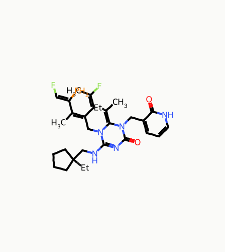 CC/C(C)=C1/N(Cc2ccc[nH]c2=O)C(=O)N=C(NCC2(CC)CCCC2)N1CC(/C=C(\C)F)=C(C)/C(P)=C/F